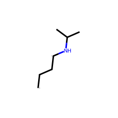 [CH2]CC[CH]NC(C)C